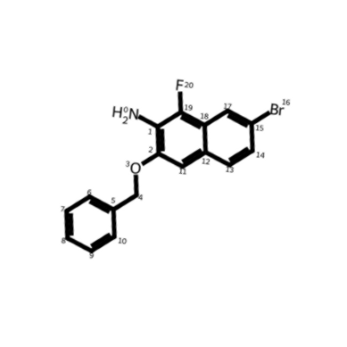 Nc1c(OCc2ccccc2)cc2ccc(Br)cc2c1F